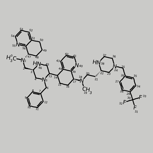 CN(C[C@@H]1CN(Cc2ccccc2)C(C2CC[C@H](N(C)CC[C@H]3CN(Cc4ccc(C(F)(F)F)cc4)CCN3)c3ncccc32)CN1)[C@H]1CCCc2cccnc21